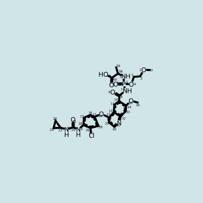 COCCOP(=O)(NC(=O)c1cc2c(Oc3ccc(NC(=O)NC4CC4)c(Cl)c3)ccnc2cc1OC)NC(C)C(=O)O